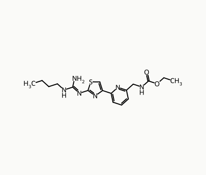 CCCCN/C(N)=N/c1nc(-c2cccc(CNC(=O)OCC)n2)cs1